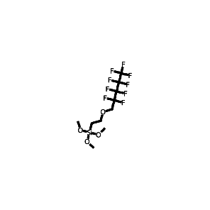 CO[Si](CCOCC(F)(F)C(F)(F)C(F)(F)C(F)(F)F)(OC)OC